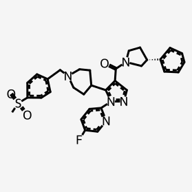 CS(=O)(=O)c1ccc(CN2CCC(c3c(C(=O)N4CC[C@H](c5ccccc5)C4)cnn3-c3ccc(F)cn3)CC2)cc1